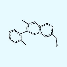 Cc1ccccc1-c1cc2cc(CC(C)C)ccc2c[n+]1C